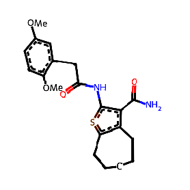 COc1ccc(OC)c(CC(=O)Nc2sc3c(c2C(N)=O)CCCCC3)c1